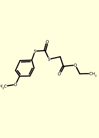 CCOC(=O)CSC(=O)Sc1ccc(OC)cc1